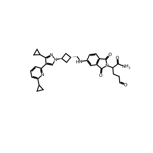 NC(=O)C(CCC=O)N1C(=O)c2ccc(NC[C@H]3C[C@H](n4cc(-c5cccc(C6CC6)n5)c(C5CC5)n4)C3)cc2C1=O